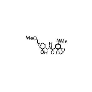 CNc1cc2c(c(C(=O)NC[C@@H]3CCN(CCOC)CC3O)c1)OCCO2